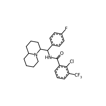 O=C(NC(c1ccc(F)cc1)C1CCCC2CCCCN21)c1cccc(C(F)(F)F)c1Cl